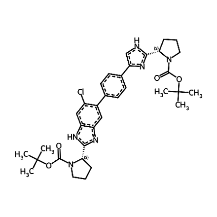 CC(C)(C)OC(=O)N1CCC[C@H]1c1nc(-c2ccc(-c3cc4nc([C@@H]5CCCN5C(=O)OC(C)(C)C)[nH]c4cc3Cl)cc2)c[nH]1